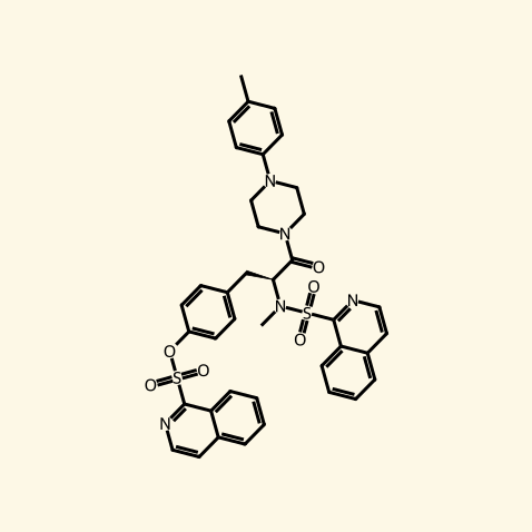 Cc1ccc(N2CCN(C(=O)[C@H](Cc3ccc(OS(=O)(=O)c4nccc5ccccc45)cc3)N(C)S(=O)(=O)c3nccc4ccccc34)CC2)cc1